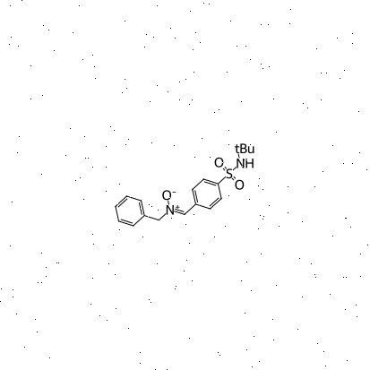 CC(C)(C)NS(=O)(=O)c1ccc(C=[N+]([O-])Cc2ccccc2)cc1